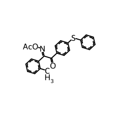 CC(=O)ON=C(C(=O)c1ccc(Sc2ccccc2)cc1)c1ccccc1C